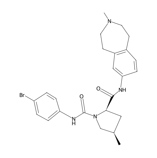 C[C@@H]1C[C@H](C(=O)Nc2ccc3c(c2)CCN(C)CC3)N(C(=O)Nc2ccc(Br)cc2)C1